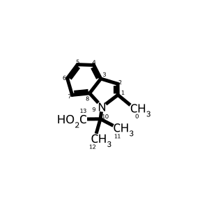 Cc1cc2ccccc2n1C(C)(C)C(=O)O